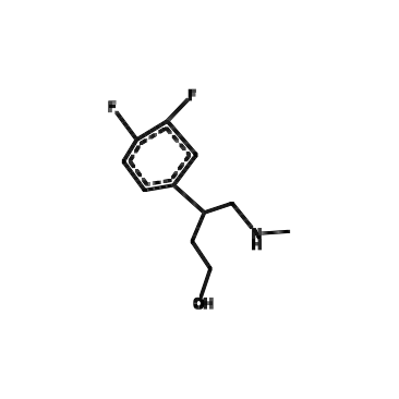 CNCC(CCO)c1ccc(F)c(F)c1